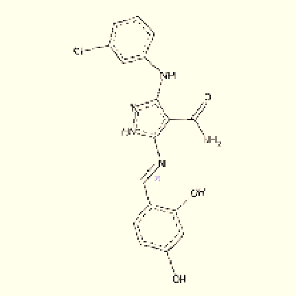 NC(=O)c1c(Nc2cccc(Cl)c2)n[nH]c1/N=C/c1ccc(O)cc1O